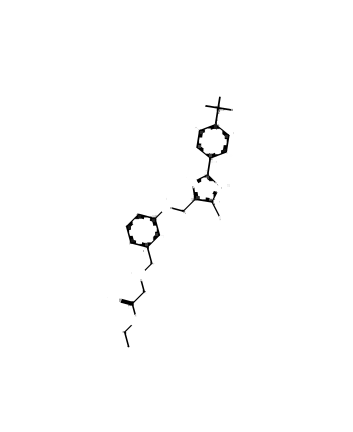 CCOC(=O)COCc1cccc(OCc2sc(-c3ccc(C(F)(F)F)cc3)nc2C)c1